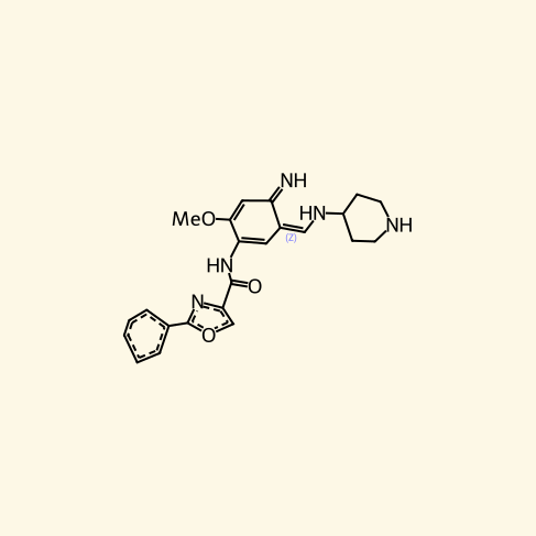 COC1=CC(=N)/C(=C\NC2CCNCC2)C=C1NC(=O)c1coc(-c2ccccc2)n1